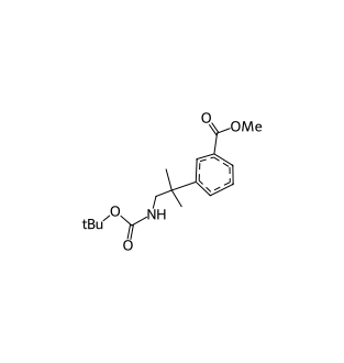 COC(=O)c1cccc(C(C)(C)CNC(=O)OC(C)(C)C)c1